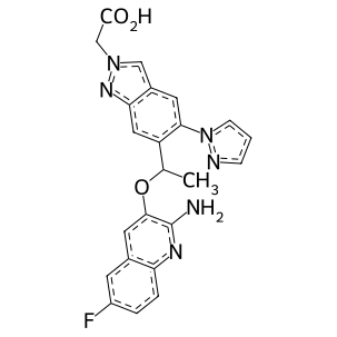 CC(Oc1cc2cc(F)ccc2nc1N)c1cc2nn(CC(=O)O)cc2cc1-n1cccn1